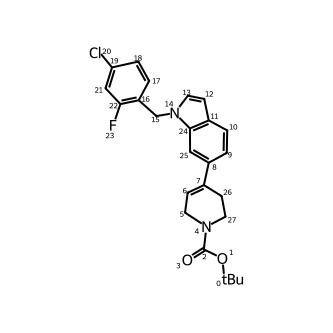 CC(C)(C)OC(=O)N1CC=C(c2ccc3ccn(Cc4ccc(Cl)cc4F)c3c2)CC1